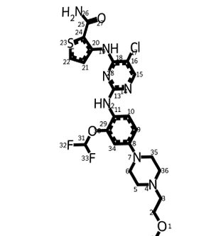 COCCN1CCN(c2ccc(Nc3ncc(Cl)c(Nc4ccsc4C(N)=O)n3)c(OC(F)F)c2)CC1